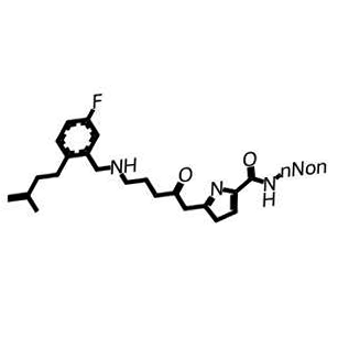 C=C(C)CCc1ccc(F)cc1CNCCCC(=O)CC1=NC(C(=O)NCCCCCCCCC)=CC1